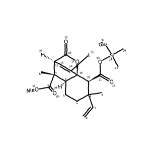 C=CC1(C)CC[C@H]2[C@](C)(C(=O)OC)[C@@H]3C=C(I)[C@]2(OC3=O)[C@H]1C(=O)O[Si](C)(C)C(C)(C)C